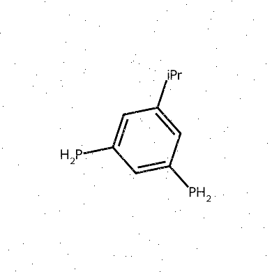 CC(C)c1cc(P)cc(P)c1